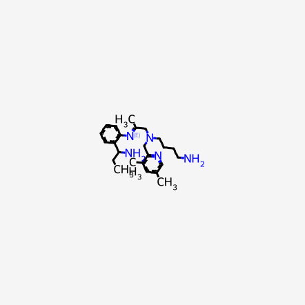 CCC(N)c1ccccc1/N=C(\C)CN(CCCCN)Cc1ncc(C)cc1C